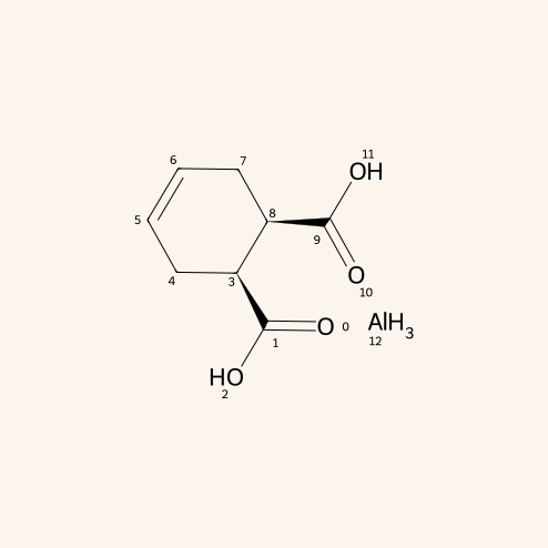 O=C(O)[C@H]1CC=CC[C@H]1C(=O)O.[AlH3]